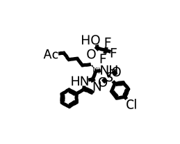 CC(=O)CCCCC[C@H](NS(=O)(=O)c1ccc(Cl)cc1)c1ncc(-c2ccccc2)[nH]1.O=C(O)C(F)(F)F